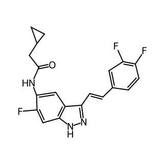 O=C(CC1CC1)Nc1cc2c(/C=C/c3ccc(F)c(F)c3)n[nH]c2cc1F